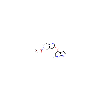 CC(C)(C)OC(=O)N1CCc2ncc(Oc3cc(Cl)nc4[nH]ccc34)cc2C1